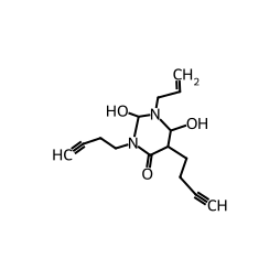 C#CCCC1C(=O)N(CCC#C)C(O)N(CC=C)C1O